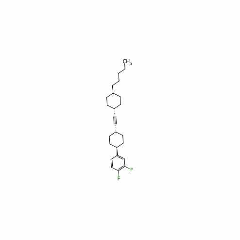 CCCCC[C@H]1CC[C@H](C#C[C@H]2CC[C@H](c3ccc(F)c(F)c3)CC2)CC1